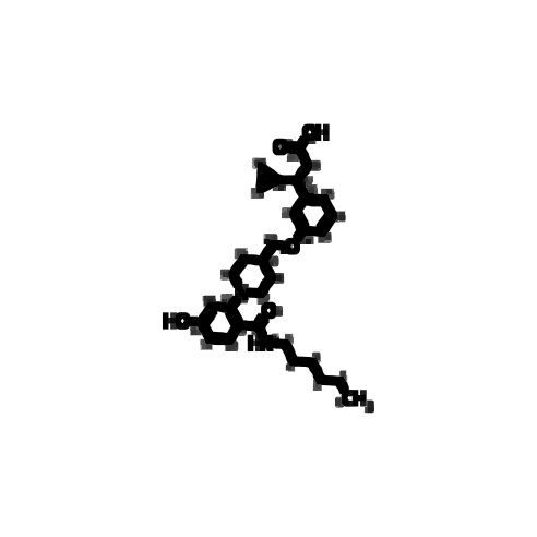 CCCCCCNC(=O)c1ccc(O)cc1N1CCC(COc2cccc(C(CC(=O)O)C3CC3)c2)CC1